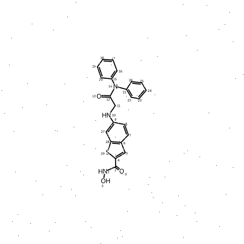 O=C(NO)c1cc2ccc(NCC(=O)N(c3ccccc3)c3ccccc3)cc2s1